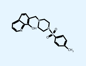 Cc1ccc(S(=O)(=O)N2CCN(Cc3ccc4cccnc4c3O)CC2)cc1